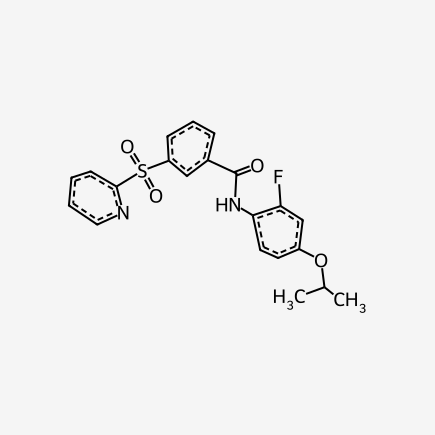 CC(C)Oc1ccc(NC(=O)c2cccc(S(=O)(=O)c3ccccn3)c2)c(F)c1